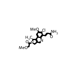 COCC(=O)N1Cc2cnc3c(/C=C/C(N)=O)c(Cl)c(OC)cc3c2[C@@H]1C